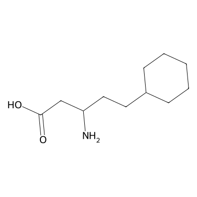 NC(CCC1CCCCC1)CC(=O)O